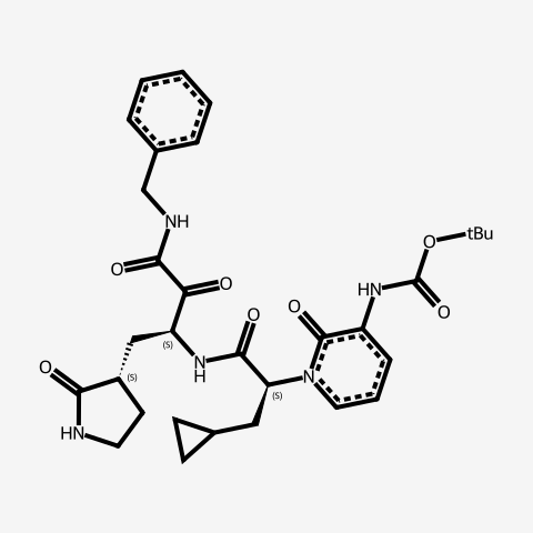 CC(C)(C)OC(=O)Nc1cccn([C@@H](CC2CC2)C(=O)N[C@@H](C[C@@H]2CCNC2=O)C(=O)C(=O)NCc2ccccc2)c1=O